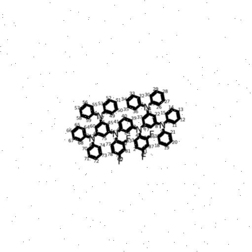 Fc1ccc(N(c2cc(N(c3ccccc3)c3ccccc3)cc(N(c3ccccc3)c3ccccc3)c2)c2cccc(N(c3cc(N(c4ccccc4)c4ccccc4)cc(N(c4ccccc4)c4ccccc4)c3)c3ccc(F)cc3F)c2)c(F)c1